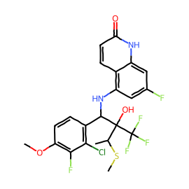 COc1ccc(C(Nc2cc(F)cc3[nH]c(=O)ccc23)C(O)(C(C)SC)C(F)(F)F)c(Cl)c1F